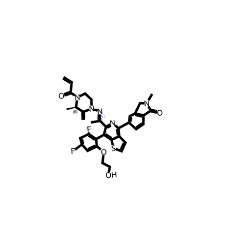 C=CC(=O)N1CCN(/N=C(\C)c2nc(-c3ccc4c(c3)CN(C)C4=O)c3ccsc3c2-c2c(F)cc(F)cc2OCCO)C(=C)[C@H]1C